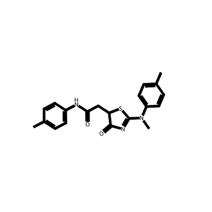 Cc1ccc(NC(=O)CC2SC(N(C)c3ccc(C)cc3)=NC2=O)cc1